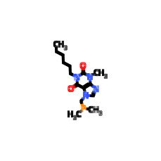 CCCCCCn1c(=O)c2c(ncn2CP(C)C)n(C)c1=O